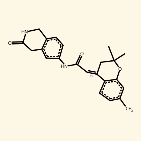 CC1(C)C/C(=C\C(=O)Nc2ccc3c(c2)CC(=O)NC3)c2ccc(C(F)(F)F)cc2O1